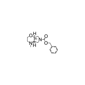 CN1CCO[C@@H]2CN(C(=O)OCc3ccccc3)C[C@H]21